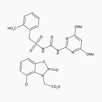 COc1cc(OC)nc(NC(=O)NS(=O)(=O)Cc2ccccc2C(=O)O)n1.O=C(O)Cn1c(=O)sc2cccc(Cl)c21